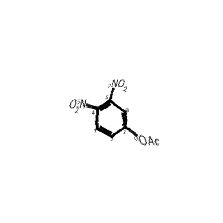 CC(=O)Oc1ccc([N+](=O)[O-])c([N+](=O)[O-])c1